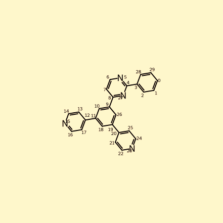 c1ccc(-c2nccc(-c3cc(-c4ccncc4)cc(-c4ccncc4)c3)n2)cc1